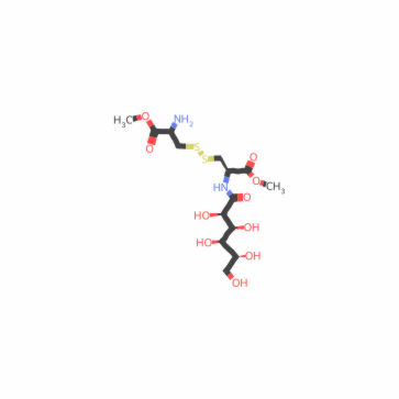 COC(=O)C(N)CSSC[C@H](NC(=O)[C@H](O)[C@@H](O)[C@H](O)[C@H](O)CO)C(=O)OC